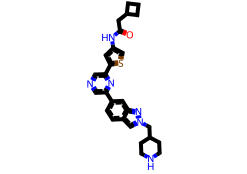 O=C(CC1CCC1)Nc1csc(-c2cncc(-c3ccc4cn(CC5CCNCC5)nc4c3)n2)c1